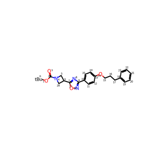 CC(C)(C)OC(=O)N1CC(c2nc(-c3ccc(OCCCc4ccccc4)cc3)no2)C1